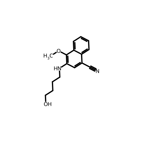 COc1c(NCCCCO)cc(C#N)c2ccccc12